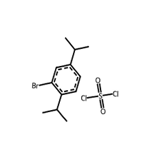 CC(C)c1ccc(C(C)C)c(Br)c1.O=S(=O)(Cl)Cl